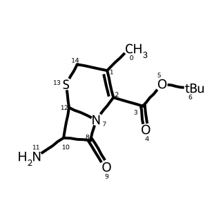 CC1=C(C(=O)OC(C)(C)C)N2C(=O)C(N)C2SC1